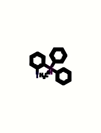 C[PH](c1ccccc1)(c1ccccc1)c1ccccc1I